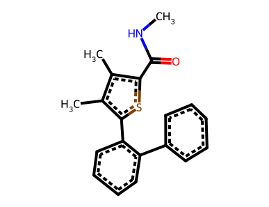 CNC(=O)c1sc(-c2ccccc2-c2ccccc2)c(C)c1C